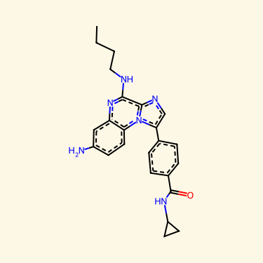 CCCCNc1nc2cc(N)ccc2n2c(-c3ccc(C(=O)NC4CC4)cc3)cnc12